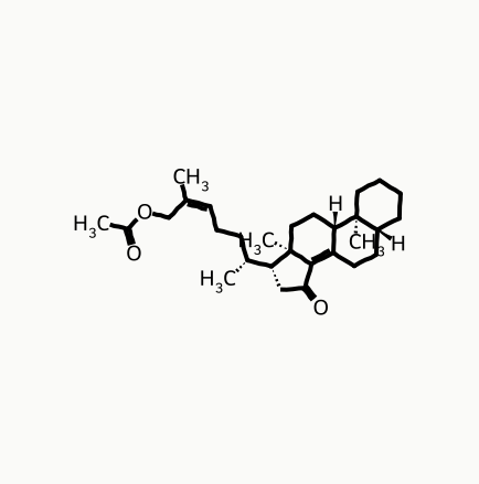 CC(=O)OCC(C)=CCC[C@@H](C)[C@H]1CC(=O)C2=C3CC[C@H]4CCCC[C@]4(C)[C@H]3CC[C@@]21C